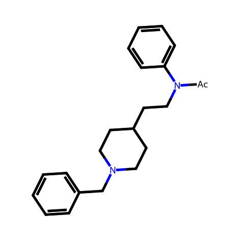 CC(=O)N(CCC1CCN(Cc2ccccc2)CC1)c1ccccc1